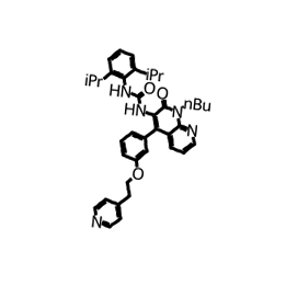 CCCCn1c(=O)c(NC(=O)Nc2c(C(C)C)cccc2C(C)C)c(-c2cccc(OCCc3ccncc3)c2)c2cccnc21